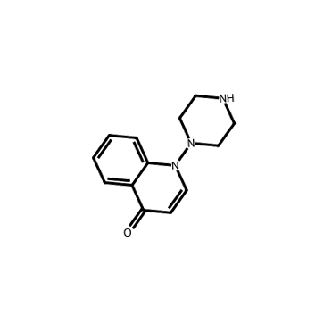 O=c1ccn(N2CCNCC2)c2ccccc12